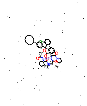 CCN(C(=O)C1(NC(=O)C(F)(F)F)CCCC1)[C@H](C(=O)N[C@@H](CC(=O)OC(c1ccccc1)(c1ccc(C2CCCCCCCC2)cc1)c1ccccc1Cl)C(=O)N1CCCC1)C(C)C